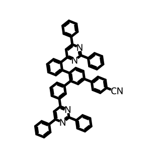 N#Cc1ccc(-c2ccc(-c3ccccc3-c3cc(-c4ccccc4)nc(-c4ccccc4)n3)c(-c3cccc(-c4cc(-c5ccccc5)nc(-c5ccccc5)n4)c3)c2)cc1